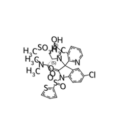 CS(=O)(=O)O.Cc1cccnc1C1(N2C[C@H](O)C[C@H]2C(=O)N(C)C)C(=O)N(S(=O)(=O)c2cccs2)c2ccc(Cl)cc21